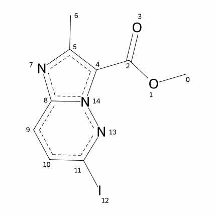 COC(=O)c1c(C)nc2ccc(I)nn12